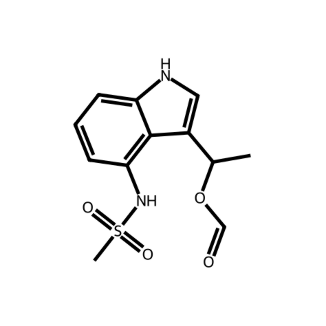 CC(OC=O)c1c[nH]c2cccc(NS(C)(=O)=O)c12